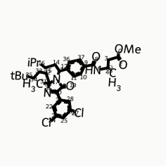 COC(=O)C[C@H](C)NC(=O)c1ccc(C(CCC(C)C)N2C(=O)C(c3cc(Cl)cc(Cl)c3)=NC2(C)CCCC(C)(C)C)cc1